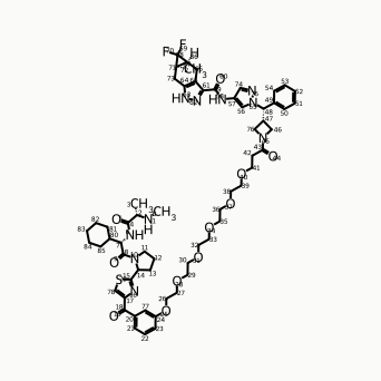 CN[C@@H](C)C(=O)N[C@H](C(=O)N1CCCC1c1nc(C(=O)c2cccc(OCCOCCOCCOCCOCCOCCC(=O)N3CC([C@@H](c4ccccc4)n4cc(NC(=O)c5n[nH]c6c5C[C@@H]5C(F)(F)[C@]5(C)C6)cn4)C3)c2)cs1)C1CCCCC1